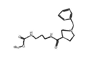 CC(C)(C)OC(=O)NCCCNC(=O)C1CCN(Cc2ccccc2)C1